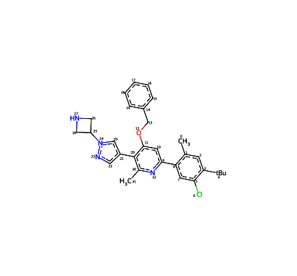 Cc1cc(C(C)(C)C)c(Cl)cc1-c1cc(OCc2ccccc2)c(-c2cnn(C3CNC3)c2)c(C)n1